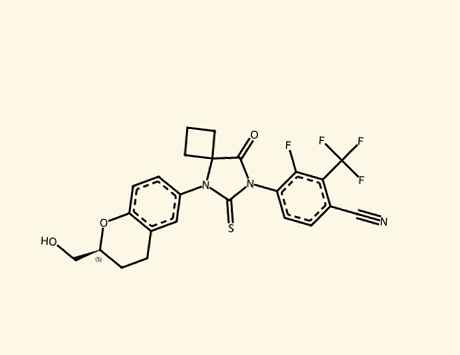 N#Cc1ccc(N2C(=O)C3(CCC3)N(c3ccc4c(c3)CC[C@@H](CO)O4)C2=S)c(F)c1C(F)(F)F